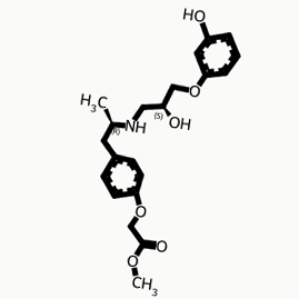 COC(=O)COc1ccc(C[C@@H](C)NC[C@H](O)COc2cccc(O)c2)cc1